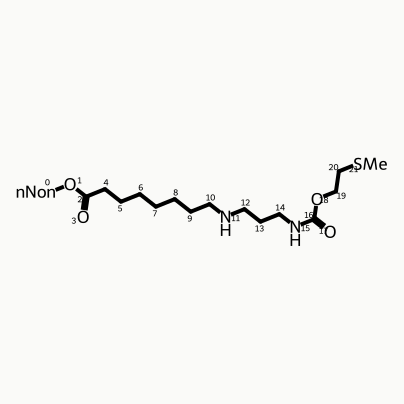 CCCCCCCCCOC(=O)CCCCCCCNCCCNC(=O)OCCSC